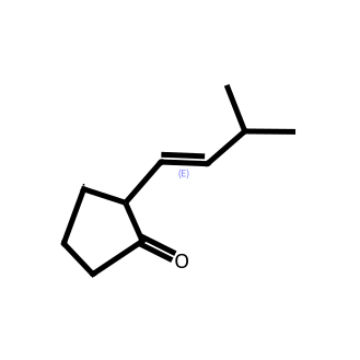 CC(C)/C=C/C1[CH]CCC1=O